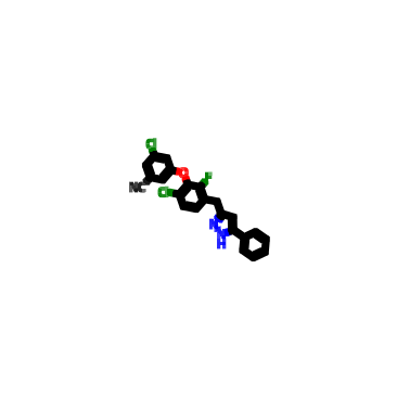 N#Cc1cc(Cl)cc(Oc2c(Cl)ccc(Cc3cc(-c4ccccc4)[nH]n3)c2F)c1